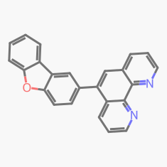 c1cnc2c(c1)cc(-c1ccc3oc4ccccc4c3c1)c1cccnc12